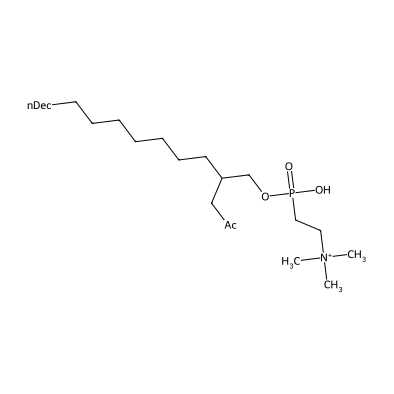 CCCCCCCCCCCCCCCCCC(COP(=O)(O)CC[N+](C)(C)C)CC(C)=O